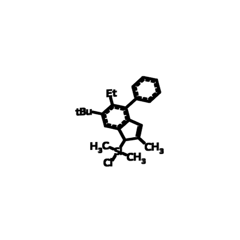 CCc1c(C(C)(C)C)cc2c(c1-c1ccccc1)C=C(C)C2[Si](C)(C)Cl